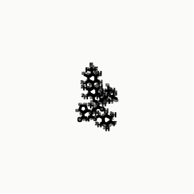 [2H]c1c([2H])c(CSc2nc(=O)c3c(n2C([2H])([2H])C(=O)N(Cc2c([2H])c([2H])c(-c4c([2H])c([2H])c(C(F)(F)F)c(C)c4[2H])c([2H])c2[2H])C([2H])([2H])C([2H])([2H])N(C([2H])([2H])C)C([2H])([2H])C)CCC3)c([2H])c([2H])c1F